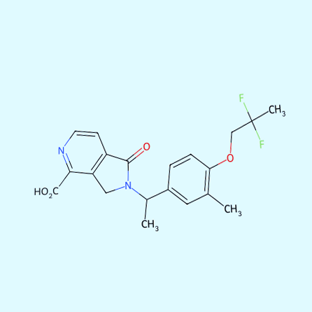 Cc1cc(C(C)N2Cc3c(ccnc3C(=O)O)C2=O)ccc1OCC(C)(F)F